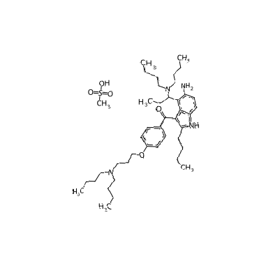 CCCCc1[nH]c2ccc(N)c(C(CC)N(CCCC)CCCC)c2c1C(=O)c1ccc(OCCCN(CCCC)CCCC)cc1.CS(=O)(=O)O